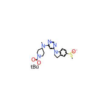 CN(c1cc(N2CCc3cc([S+](C)[O-])ccc32)ncn1)C1CCN(C(=O)OC(C)(C)C)CC1